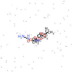 COC1C(OC(=O)NC(C)(C)COC(=O)NCCCN)CC[C@]2(CO2)C1C(C)(C)OCC=C(C)C